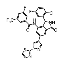 O=C(Nc1cc(-c2cnn(-c3nccs3)c2)cc2c1C(c1cc(F)ccc1Cl)NC2=O)c1cc(F)cc(C(F)(F)F)c1